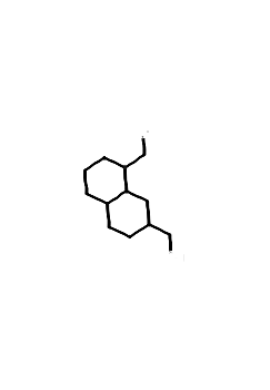 OCC1CCC2CCCC(CO)C2C1